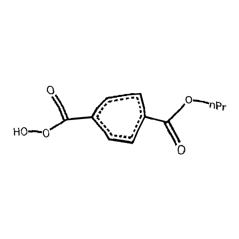 CCCOC(=O)c1ccc(C(=O)OO)cc1